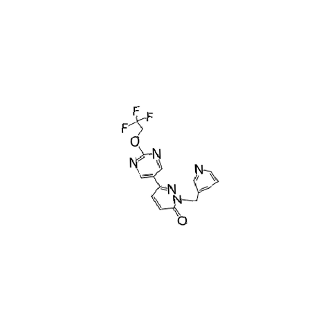 O=c1ccc(-c2cnc(OCC(F)(F)F)nc2)nn1Cc1cccnc1